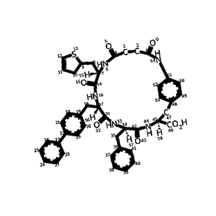 O=C1CCC(=O)N[C@@H](CC2CC=CS2)C(=O)N[C@@H](Cc2ccc(-c3ccccc3)cc2)C(=O)N[C@H](Cc2ccccc2)C(=O)N[C@H](C(=O)O)Cc2ccc(cc2)N1